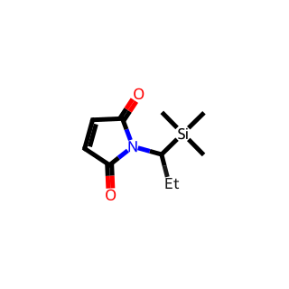 CCC(N1C(=O)C=CC1=O)[Si](C)(C)C